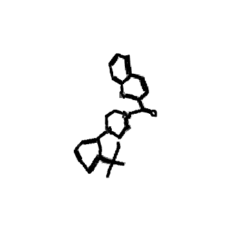 CC(C)(C)c1ccccc1N1CCN(C(=O)c2ccc3ccccc3n2)CC1